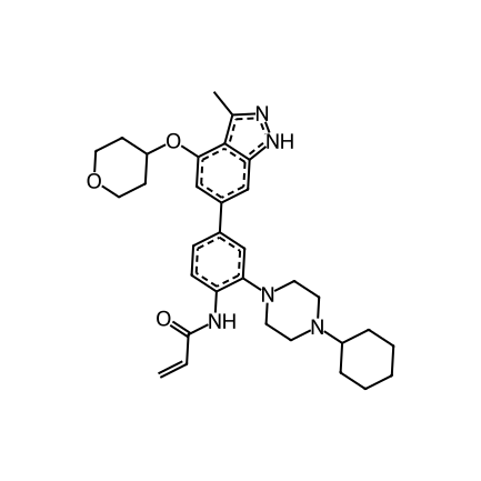 C=CC(=O)Nc1ccc(-c2cc(OC3CCOCC3)c3c(C)n[nH]c3c2)cc1N1CCN(C2CCCCC2)CC1